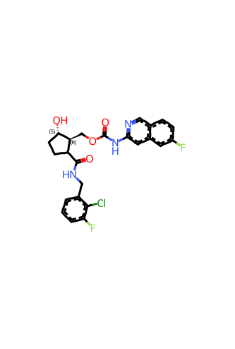 O=C(Nc1cc2cc(F)ccc2cn1)OC[C@H]1C(C(=O)NCc2cccc(F)c2Cl)CC[C@@H]1O